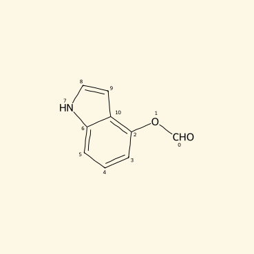 O=COc1cccc2[nH]ccc12